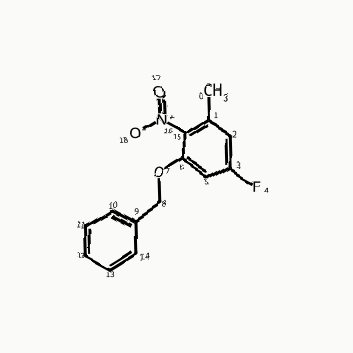 Cc1cc(F)cc(OCc2ccccc2)c1[N+](=O)[O-]